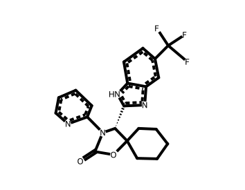 O=C1OC2(CCCCC2)[C@@H](c2nc3cc(C(F)(F)F)ccc3[nH]2)N1c1ccccn1